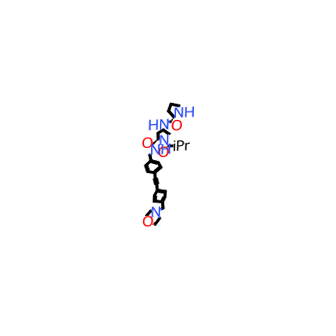 CC(C)C(=O)N1C[C@H](NC(=O)[C@@H]2CCCN2)C[C@@H]1C(=O)NCc1ccc(C#Cc2ccc(CN3CCOCC3)cc2)cc1